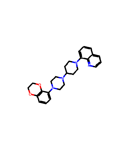 c1cc2c(c(N3CCN(C4CCN(c5cccc6cccnc56)CC4)CC3)c1)OCCO2